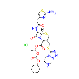 CC(OC(=O)OC1CCCCC1)OC(=O)C1=C(CSc2nnnn2CCN(C)C)CS[C@H]2[C@H](NC(=O)Cc3csc(N)n3)C(=O)N12.Cl